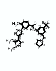 Cc1ccc(C(=O)Nc2cc(CN3CCCC3)cc(C(F)(F)F)c2)cc1-n1cc(-c2cnn(C)c2C)nn1